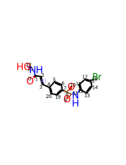 O=C(/C=C/c1ccc(S(=O)(=O)Nc2ccc(Br)cc2)cc1)NO